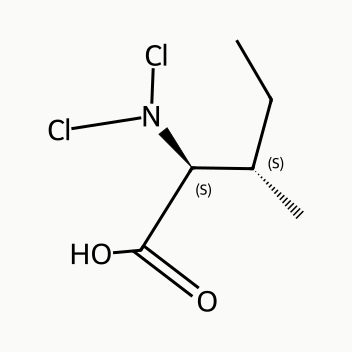 CC[C@H](C)[C@@H](C(=O)O)N(Cl)Cl